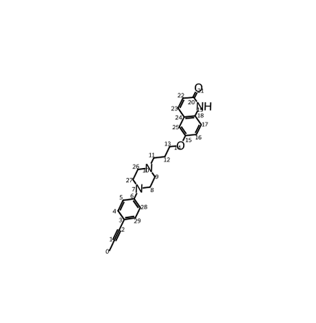 CC#Cc1ccc(N2CCN(CCCOc3ccc4[nH]c(=O)ccc4c3)CC2)cc1